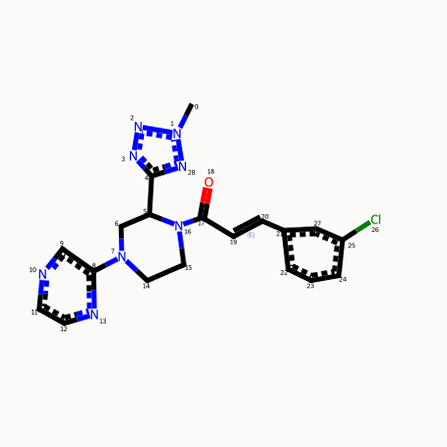 Cn1nnc(C2CN(c3cnccn3)CCN2C(=O)/C=C/c2cccc(Cl)c2)n1